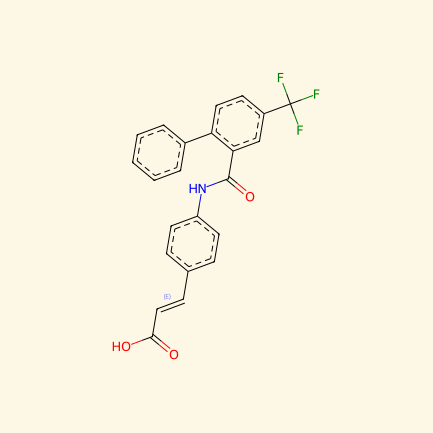 O=C(O)/C=C/c1ccc(NC(=O)c2cc(C(F)(F)F)ccc2-c2ccccc2)cc1